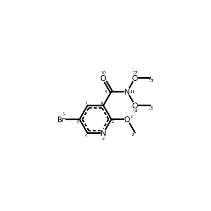 COc1ncc(Br)cc1C(=O)N(OC)OC